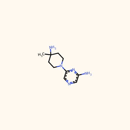 CC1(N)CCN(c2cncc(N)n2)CC1